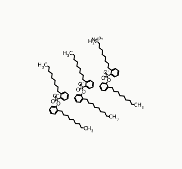 CCCCCCCCCc1ccccc1OP(=O)([O-])c1ccccc1CCCCCCCCC.CCCCCCCCCc1ccccc1OP(=O)([O-])c1ccccc1CCCCCCCCC.CCCCCCCCCc1ccccc1OP(=O)([O-])c1ccccc1CCCCCCCCC.[Nd+3]